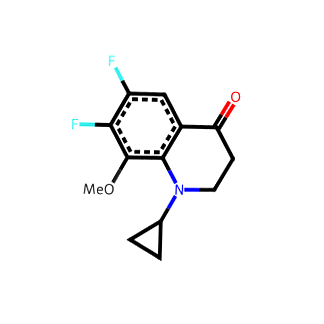 COc1c(F)c(F)cc2c1N(C1CC1)CCC2=O